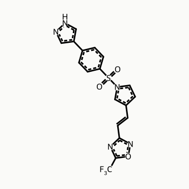 O=S(=O)(c1ccc(-c2cn[nH]c2)cc1)n1ccc(C=Cc2noc(C(F)(F)F)n2)c1